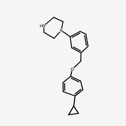 c1cc(COc2ccc(C3CC3)cc2)cc(N2CCNCC2)c1